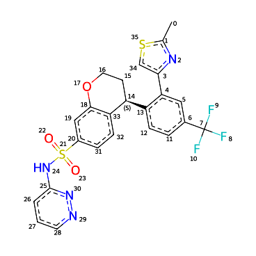 Cc1nc(-c2cc(C(F)(F)F)ccc2[C@@H]2CCOc3cc(S(=O)(=O)Nc4cccnn4)ccc32)cs1